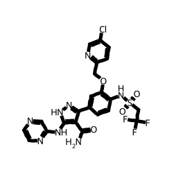 NC(=O)c1c(-c2ccc(NS(=O)(=O)CC(F)(F)F)c(OCc3ccc(Cl)cn3)c2)n[nH]c1Nc1cnccn1